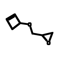 C1=CC(OCC2CO2)C1